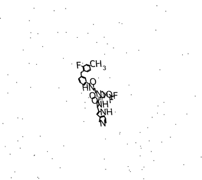 Cc1ccc(Cc2cccc(C(=O)NCC(=O)N3C[C@H](OC(F)F)C[C@H]3C(=O)NCc3cc4cnccc4[nH]3)c2)c(F)c1